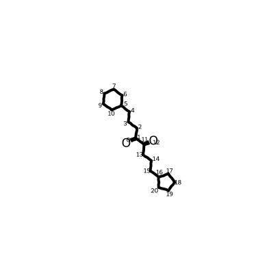 O=C(CCCC1CCCCC1)C(=O)CCCC1CCCC1